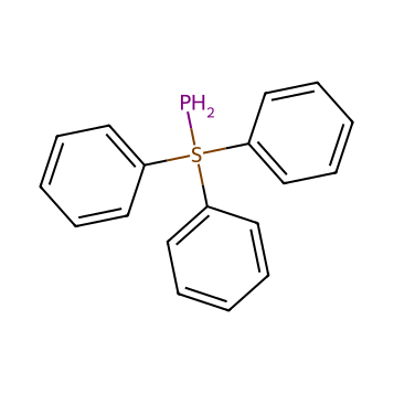 PS(c1ccccc1)(c1ccccc1)c1ccccc1